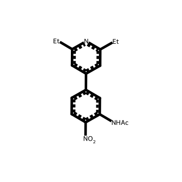 CCc1cc(-c2ccc([N+](=O)[O-])c(NC(C)=O)c2)cc(CC)n1